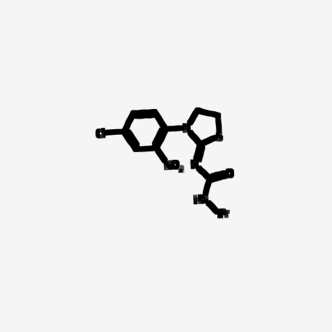 CC(C)NC(=O)N=C1SCCN1c1ccc(Cl)cc1[N+](=O)[O-]